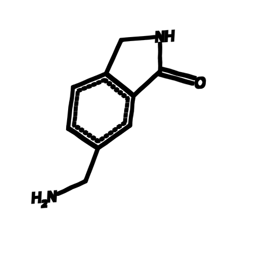 NCc1ccc2c(c1)C(=O)NC2